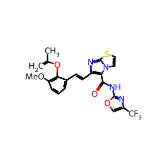 C=C(C)Oc1c(/C=C/c2nc3sccn3c2C(=O)Nc2nc(C(F)(F)F)co2)cccc1OC